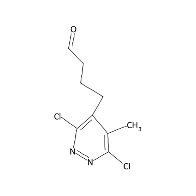 Cc1c(Cl)nnc(Cl)c1CCCC=O